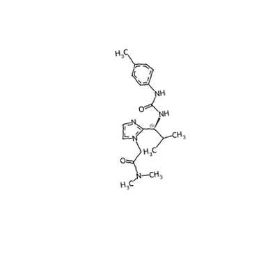 Cc1ccc(NC(=O)N[C@H](c2nccn2CC(=O)N(C)C)C(C)C)cc1